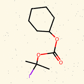 CC(C)(I)OC(=O)OC1CCCCC1